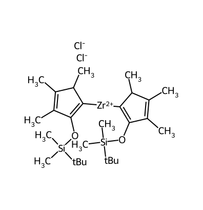 CC1=C(C)C(C)[C]([Zr+2][C]2=C(O[Si](C)(C)C(C)(C)C)C(C)=C(C)C2C)=C1O[Si](C)(C)C(C)(C)C.[Cl-].[Cl-]